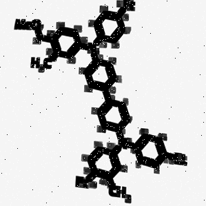 CCc1ccc(N(c2ccc(-c3ccc(N(c4ccc(CC)cc4)c4ccc(COC)c(C)c4)cc3)cc2)c2ccc(CC)c(C)c2)cc1